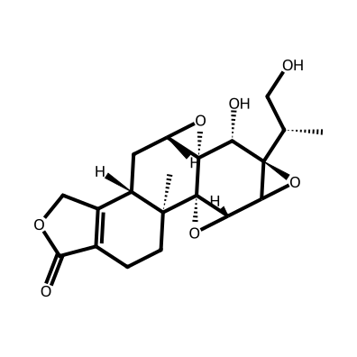 C[C@@H](CO)[C@]12OC1[C@@H]1O[C@]13[C@]1(O[C@H]1C[C@H]1C4=C(CC[C@@]13C)C(=O)OC4)[C@@H]2O